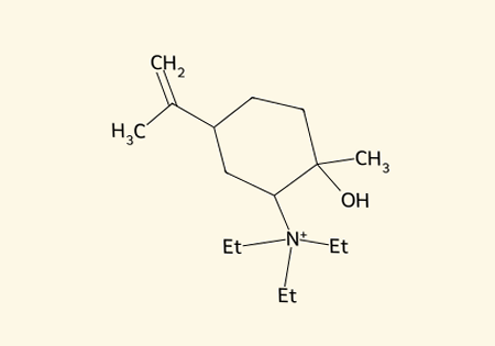 C=C(C)C1CCC(C)(O)C([N+](CC)(CC)CC)C1